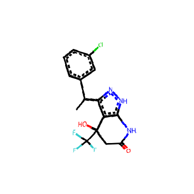 CC(c1cccc(Cl)c1)c1n[nH]c2c1C(O)(C(F)(F)F)CC(=O)N2